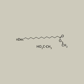 C=COC(=O)CCCCCCCCCCCCCCCCCCCCCCC.CC(=O)O